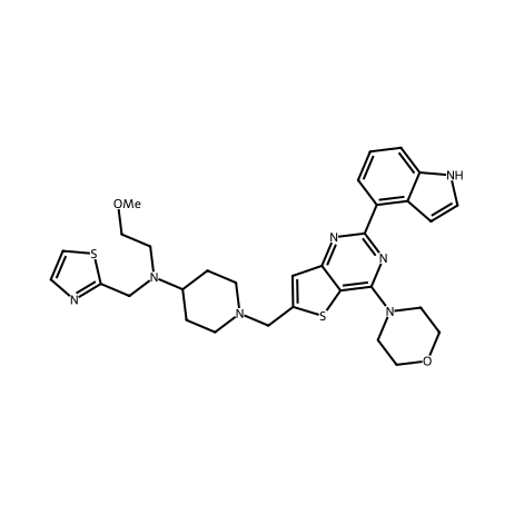 COCCN(Cc1nccs1)C1CCN(Cc2cc3nc(-c4cccc5[nH]ccc45)nc(N4CCOCC4)c3s2)CC1